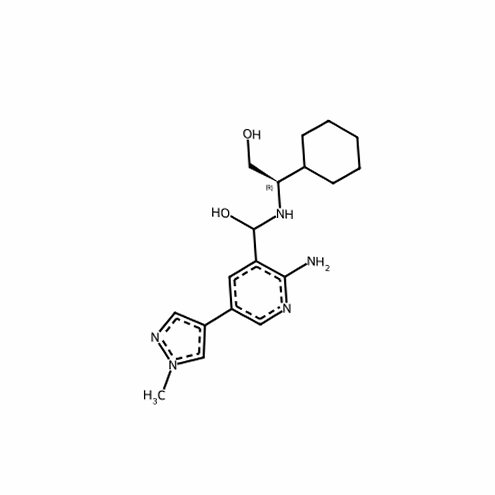 Cn1cc(-c2cnc(N)c(C(O)N[C@@H](CO)C3CCCCC3)c2)cn1